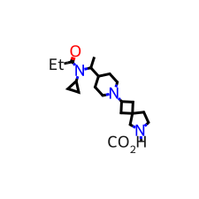 CCC(=O)N(C1CC1)C(C)C1CCN(C2CC3(CCN(C(=O)O)C3)C2)CC1